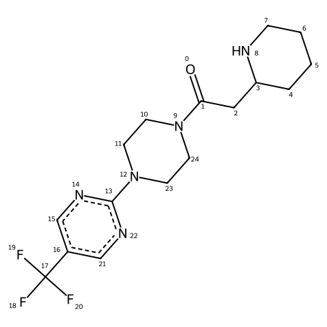 O=C(CC1CCCCN1)N1CCN(c2ncc(C(F)(F)F)cn2)CC1